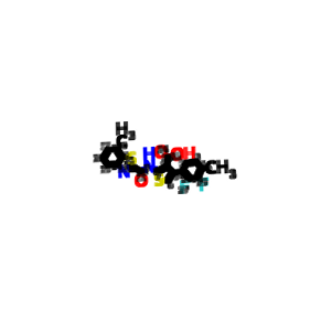 Cc1ccc(-c2csc(NC(=O)c3nc4cccc(C)c4s3)c2C(=O)O)c(F)c1F